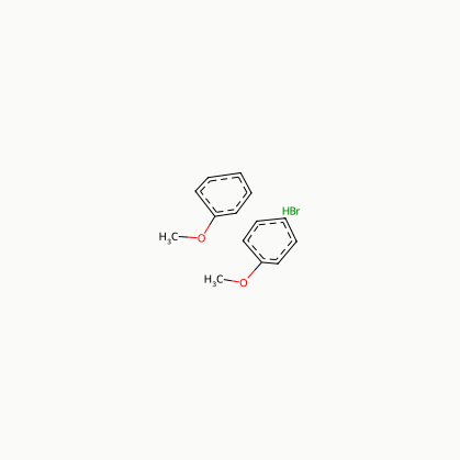 Br.COc1ccccc1.COc1ccccc1